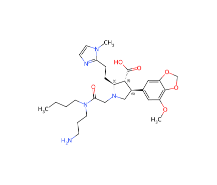 CCCCN(CCCN)C(=O)CN1C[C@H](c2cc(OC)c3c(c2)OCO3)[C@@H](C(=O)O)[C@@H]1CCc1nccn1C